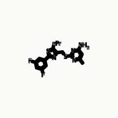 CCCc1sc(-c2cc(F)cc(F)c2)nc1CSc1nc(C)cc(N)n1